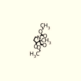 CCOC(=O)N1CCC(=O)C1(C)C(=O)OCC